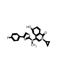 CN(c1nc(-c2ccc(F)cc2)[c]s1)c1cn(C2CC2)c(=O)c2ccc(O)cc12